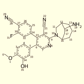 COc1ccc(-c2cnc(N3CC4CCCC3CC4N)c(C#N)c2-c2ccc(C#N)c(F)c2)cc1O